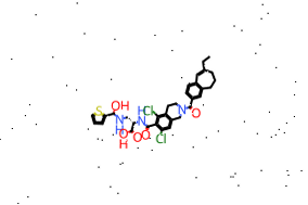 CCC1=Cc2ccc(C(=O)N3CCc4c(cc(Cl)c(C(=O)N[C@@H](CNC(O)c5cccs5)C(=O)O)c4Cl)C3)cc2CCC1